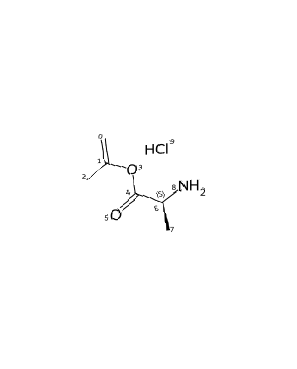 C=C(C)OC(=O)[C@H](C)N.Cl